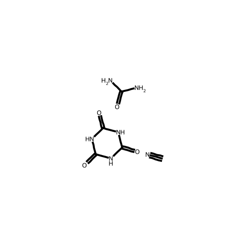 C#N.NC(N)=O.O=c1[nH]c(=O)[nH]c(=O)[nH]1